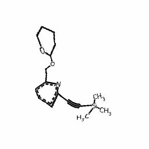 C[Si](C)(C)C#Cc1cccc(COC2CCCCO2)n1